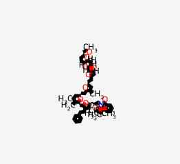 C=C1C[C@H](CCC23C[C@H]4O[C@H]5[C@@H](O2)[C@H]2O[C@@H](CC(C)=O)CC[C@@H]2O[C@H]5[C@H]4O3)OC1CC[C@H]1C[C@@H](C)C(=C)[C@@H](CC2O[C@H](C[C@@H](CN3C(=O)c4ccccc4C3=O)O[Si](C)(C)C(C)(C)C)[C@H](C)C2CCc2ccccc2)O1